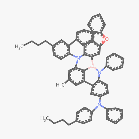 CCCCc1ccc(N(c2ccccc2)c2ccc3c(c2)-c2cc(C)cc4c2B(c2cc5oc6ccccc6c5cc2N4c2ccc(CCCC)cc2-c2ccccc2)N3c2ccccc2)cc1